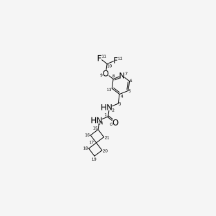 O=C(NCc1ccnc(OC(F)F)c1)NC1CC2(CCC2)C1